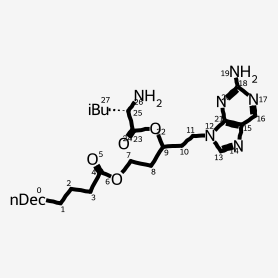 CCCCCCCCCCCCCC(=O)OCCC(CCn1cnc2cnc(N)nc21)OC(=O)[C@@H](N)C(C)CC